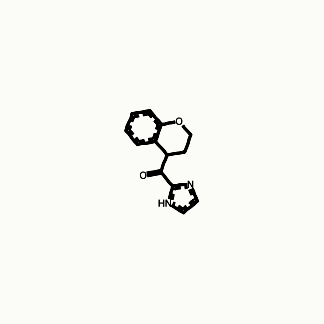 O=C(c1ncc[nH]1)C1CCOc2ccccc21